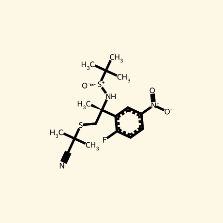 CC(C)(C#N)SC[C@](C)(N[S@+]([O-])C(C)(C)C)c1cc([N+](=O)[O-])ccc1F